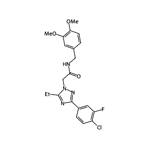 CCc1nc(-c2ccc(Cl)c(F)c2)nn1CC(=O)NCc1ccc(OC)c(OC)c1